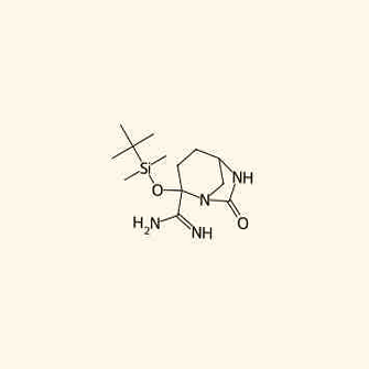 CC(C)(C)[Si](C)(C)OC1(C(=N)N)CCC2CN1C(=O)N2